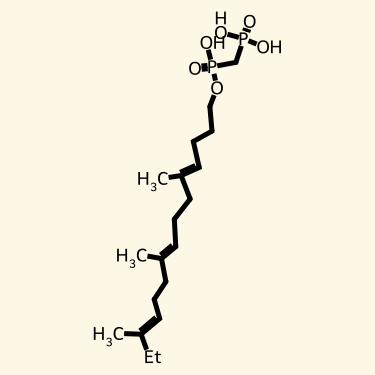 CCC(C)=CCC/C(C)=C/CC/C(C)=C/CCCOP(=O)(O)CP(=O)(O)O